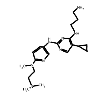 CN(C)CCN(C)c1ccc(Nc2ncc(C3CC3)c(NCCCN)n2)cn1